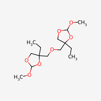 CCC1(COCC2(CC)COC(OC)O2)COC(OC)O1